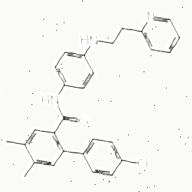 Cc1cc(C(=O)Nc2ccc(NCCc3ccccn3)cc2)c(-c2ccc(Cl)cc2)cc1C